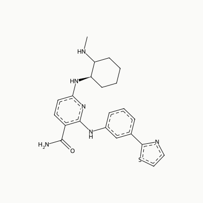 CNC1CCCC[C@H]1Nc1ccc(C(N)=O)c(Nc2cccc(-c3nccs3)c2)n1